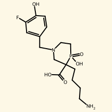 NCCCCC1(C(=O)O)CN(Cc2ccc(O)c(F)c2)CCP1(=O)O